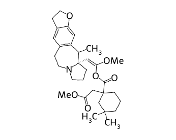 COC(=O)CC1(C(=O)O/C(=C\[C@]23CCCN2CCc2cc4c(cc2C3C)OCC4)OC)CCCC(C)(C)C1